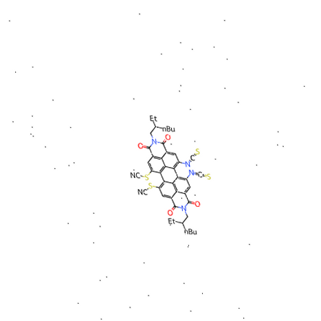 CCCCC(CC)CN1C(=O)c2cc(N=C=S)c3c4c(N=C=S)cc5c6c(cc(SC#N)c(c7c(SC#N)cc(c2c37)C1=O)c64)C(=O)N(CC(CC)CCCC)C5=O